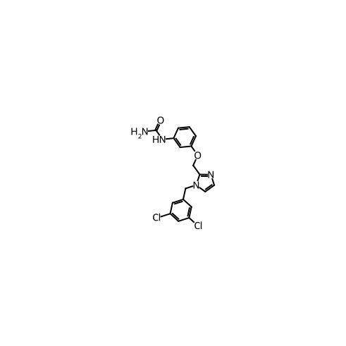 NC(=O)Nc1cccc(OCc2nccn2Cc2cc(Cl)cc(Cl)c2)c1